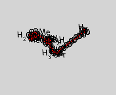 C=C1C[C@H]2[C@H](OC3CCCCO3)N(C(=O)OC(C)(C)C)c3cc(OCCCCCOc4cc5c(cc4OC)C(=O)N4C=C(c6ccc(NC(=O)[C@H](C)NC(=O)[C@@H](NC(=O)CCOCCOCCOCCOCCOCCOCCOCCOCCNC(=O)CCN7C(=O)C=CC7=O)C(C)C)cc6)C[C@H]4[C@H](O[Si](C)(C)C(C)(C)C)N5C(=O)O)c(OC)cc3C(=O)N2C1